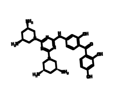 N[C@@H]1C[C@H](N)CN(c2nc(Nc3ccc(C(=O)c4ccc(O)cc4O)c(O)c3)nc(N3C[C@H](N)C[C@H](N)C3)n2)C1